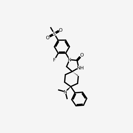 CN(C)[C@]1(c2ccccc2)CC[C@]2(CC1)CN(c1ccc(S(C)(=O)=O)cc1F)C(=O)N2